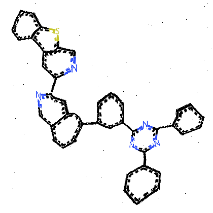 c1ccc(-c2nc(-c3ccccc3)nc(-c3cccc(-c4cccc5cnc(-c6cc7c(cn6)sc6ccccc67)cc45)c3)n2)cc1